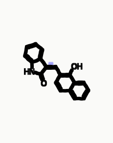 O=C1Nc2ccccc2/C1=C/c1ccc2ccccc2c1O